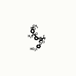 Cc1nc2ccc(N(C)C(=O)c3cccc(-n4nc(C(F)F)c(Cl)c4COc4ccc(C(=O)O)cc4)c3)cc2o1